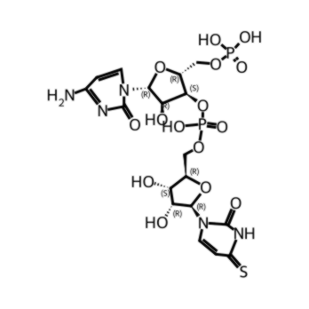 Nc1ccn([C@@H]2O[C@H](COP(=O)(O)O)[C@@H](OP(=O)(O)OC[C@H]3O[C@@H](n4ccc(=S)[nH]c4=O)[C@H](O)[C@@H]3O)[C@H]2O)c(=O)n1